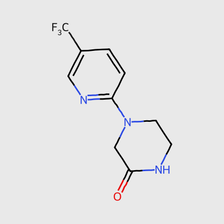 O=C1CN(c2ccc(C(F)(F)F)cn2)CCN1